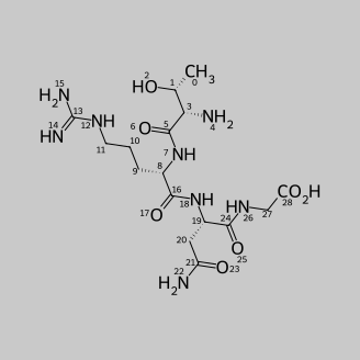 C[C@@H](O)[C@H](N)C(=O)N[C@@H](CCCNC(=N)N)C(=O)N[C@@H](CC(N)=O)C(=O)NCC(=O)O